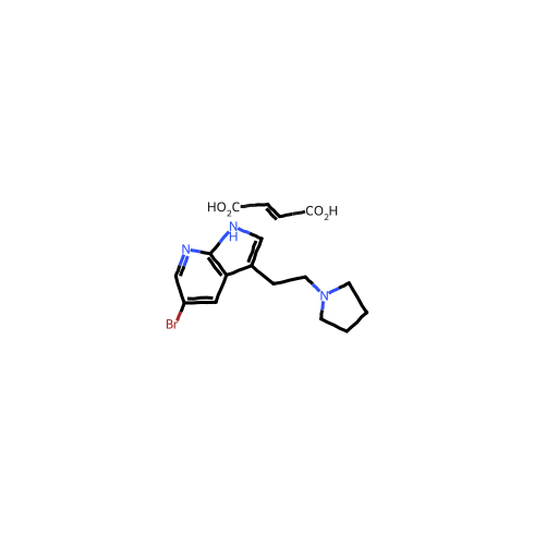 Brc1cnc2[nH]cc(CCN3CCCC3)c2c1.O=C(O)/C=C/C(=O)O